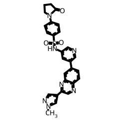 Cn1cc(-c2cnc3ccc(-c4cncc(NS(=O)(=O)c5ccc(N6CCCC6=O)cc5)c4)cc3n2)cn1